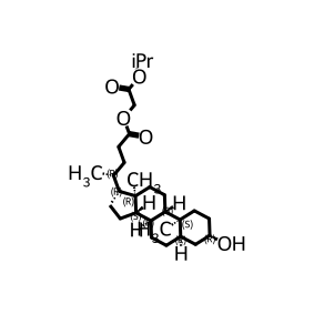 CC(C)OC(=O)COC(=O)CC[C@@H](C)[C@H]1CC[C@H]2[C@@H]3CC[C@@H]4C[C@H](O)CC[C@]4(C)[C@H]3CC[C@]12C